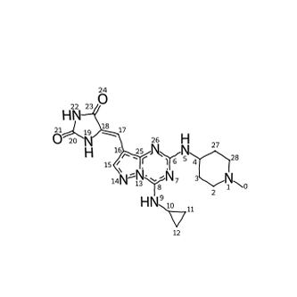 CN1CCC(Nc2nc(NC3CC3)n3ncc(/C=C4\NC(=O)NC4=O)c3n2)CC1